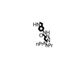 CCCN(CCC)c1cc(C(=O)Nc2ccc3[nH]ccc3c2)ncn1